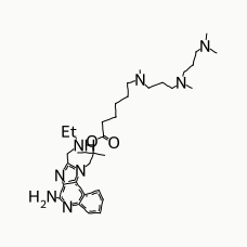 CCNCc1nc2c(N)nc3ccccc3c2n1CC(C)(C)OC(=O)CCCCCN(C)CCCN(C)CCCN(C)C